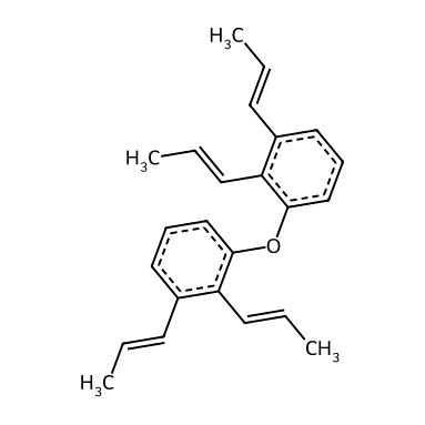 CC=Cc1cccc(Oc2cccc(C=CC)c2C=CC)c1C=CC